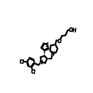 OCCCOCC1CCN(C[C@H]2CN(Cc3ccc(Cl)cc3Cl)C[C@@H]2c2ccsc2)CC1